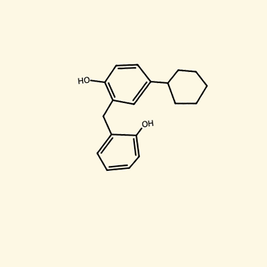 Oc1ccccc1Cc1cc(C2CCCCC2)ccc1O